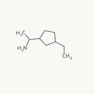 CCC1CCC(C(C)N)C1